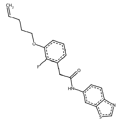 C=CCCCOc1cccc(CC(=O)Nc2ccc3ncsc3c2)c1F